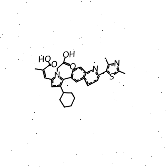 CC(=Cc1cc(C2CCCCC2)c(-c2ccc3nc(-c4sc(C)nc4C)ccc3c2)n1CC(=O)O)C(=O)O